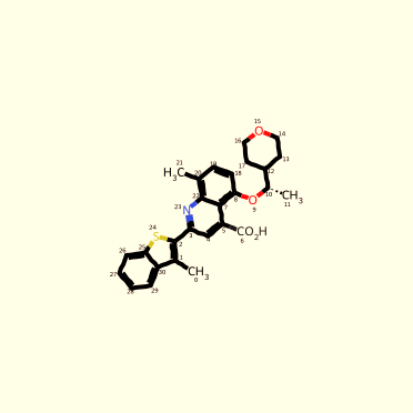 Cc1c(-c2cc(C(=O)O)c3c(O[C@@H](C)C4CCOCC4)ccc(C)c3n2)sc2ccccc12